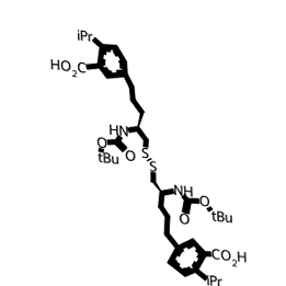 CC(C)c1ccc(CCC[C@@H](CSSC[C@H](CCCc2ccc(C(C)C)c(C(=O)O)c2)NC(=O)OC(C)(C)C)NC(=O)OC(C)(C)C)cc1C(=O)O